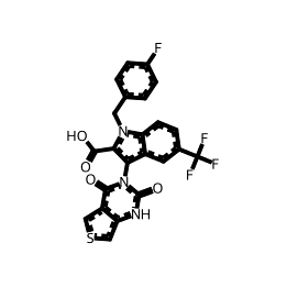 O=C(O)c1c(-n2c(=O)[nH]c3cscc3c2=O)c2cc(C(F)(F)F)ccc2n1Cc1ccc(F)cc1